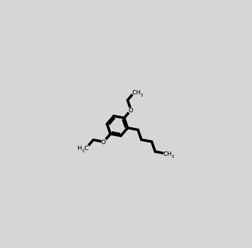 CCCCCc1cc(OCC)ccc1OCC